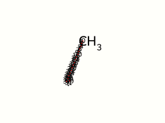 CCCCCCCCCCCCCCCCCCCCCCCCCCCCc1cc[c]cc1